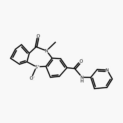 CN1C(=O)c2ccccc2[S+]([O-])c2ccc(C(=O)Nc3cccnc3)cc21